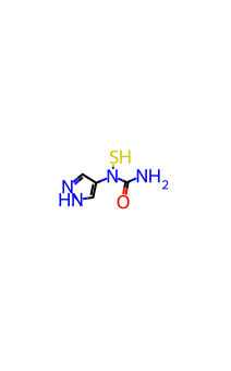 NC(=O)N(S)c1cn[nH]c1